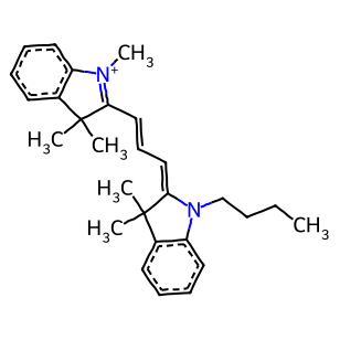 CCCCN1/C(=C/C=C/C2=[N+](C)c3ccccc3C2(C)C)C(C)(C)c2ccccc21